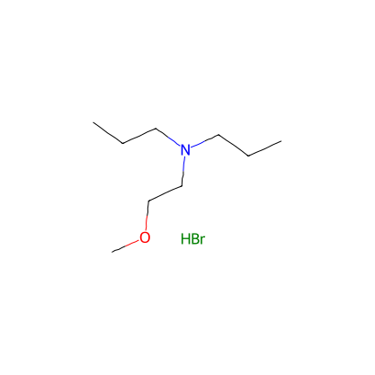 Br.CCCN(CCC)CCOC